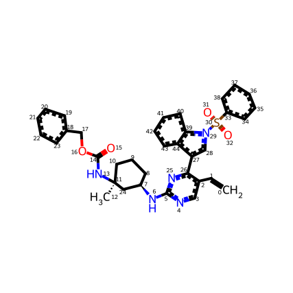 C=Cc1cnc(N[C@@H]2CCC[C@](C)(NC(=O)OCc3ccccc3)C2)nc1-c1cn(S(=O)(=O)c2ccccc2)c2ccccc12